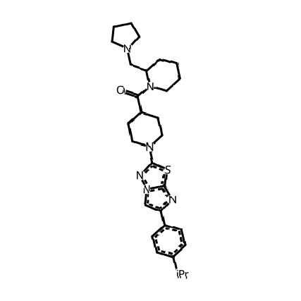 CC(C)c1ccc(-c2cn3nc(N4CCC(C(=O)N5CCCCC5CN5CCCC5)CC4)sc3n2)cc1